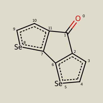 O=C1c2cc[se]c2-c2[se]ccc21